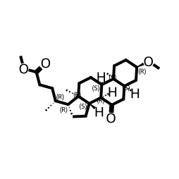 COC(=O)CC[C@@H](C)[C@H]1CC[C@H]2[C@@H]3C(=O)C[C@@H]4C[C@H](OC)CC[C@]4(C)[C@H]3CC[C@]12C